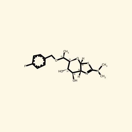 C[C@H](OCc1ccc(F)cc1)[C@H]1O[C@@H]2SC(N(C)C)=N[C@@H]2[C@@H](O)[C@@H]1O